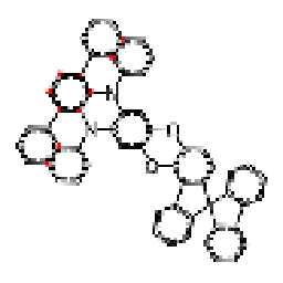 c1ccc(-c2ccccc2N(c2ccccc2)c2cc3c(cc2N(c2ccccc2)c2ccccc2-c2ccccc2)Oc2c(ccc4c2-c2ccccc2C42c4ccccc4-c4ccccc42)O3)cc1